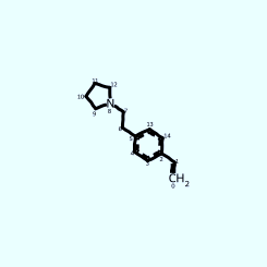 C=Cc1ccc(CCN2CCCC2)cc1